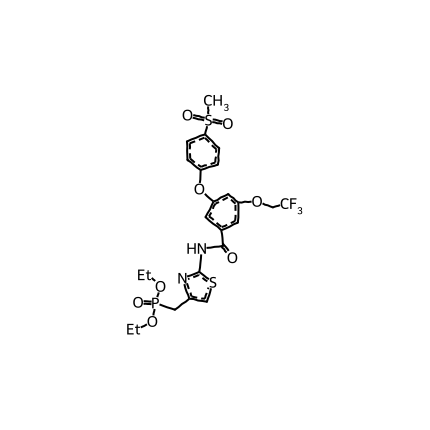 CCOP(=O)(Cc1csc(NC(=O)c2cc(OCC(F)(F)F)cc(Oc3ccc(S(C)(=O)=O)cc3)c2)n1)OCC